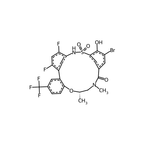 C[C@H]1CN(C)C(=O)c2cc(Br)c(O)c(c2)S(=O)(=O)Nc2cc(c(F)cc2F)-c2cc(C(F)(F)F)ccc2O1